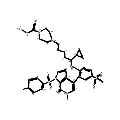 Cc1ccc(S(=O)(=O)n2ccc3c(-c4cc(S(C)(=O)=O)ccc4OC(CCCCN4CCN(C(=O)OC(C)(C)C)CC4)C4CC4)cn(C)c(=O)c32)cc1